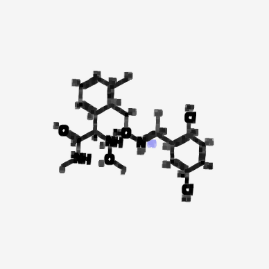 CNC(=O)C(NOC)c1cccc(C)c1CO/N=C(\C)c1cc(Cl)ccc1Cl